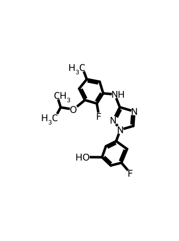 Cc1cc(Nc2ncn(-c3cc(O)cc(F)c3)n2)c(F)c(OC(C)C)c1